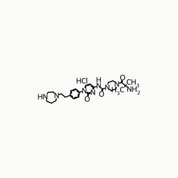 CC(C)(N)C(=O)N1CCN(C(=O)Nc2ccn(-c3ccc(CCN4CCCNCC4)cc3)c(=O)n2)CC1.Cl